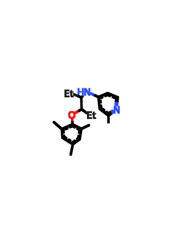 CCC(Nc1ccnc(C)c1)C(CC)Oc1c(C)cc(C)cc1C